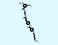 Nc1cc(N)cc(C(=O)OCCCOC(=O)C=Cc2ccc(OC(=O)c3ccc(OCCCCCC(F)(F)F)cc3)cc2)c1